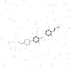 CCCC1CCC(c2cc(F)c(C(=O)Oc3cc(F)c(/C=C/C(F)(F)F)c(F)c3)c(F)c2)CC1